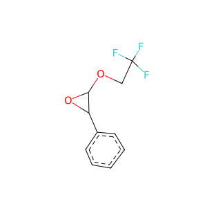 FC(F)(F)COC1OC1c1ccccc1